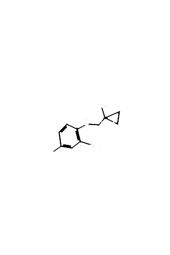 N#CC1(CNc2ccc(Br)cc2[N+](=O)[O-])CC1